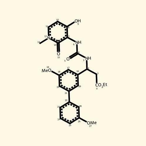 CCOC(=O)CC(NC(=O)Nc1c(O)ccn(C)c1=O)c1cc(OC)cc(-c2cccc(OC)c2)c1